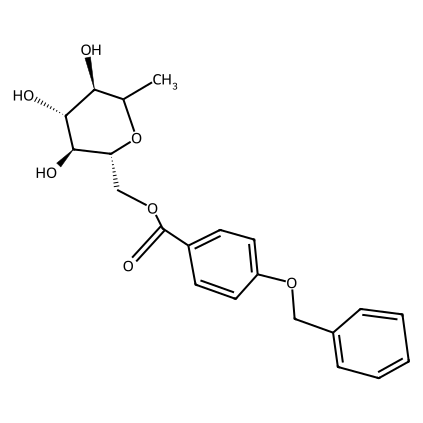 CC1O[C@H](COC(=O)c2ccc(OCc3ccccc3)cc2)[C@@H](O)[C@H](O)[C@H]1O